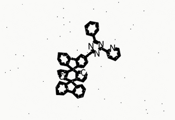 c1ccc(-c2nc(-c3ccc4c(c3)-c3ccccc3C43c4ccccc4C4(c5ccccc5-c5ccccc54)c4ccccc43)nc(-c3ccccn3)n2)cc1